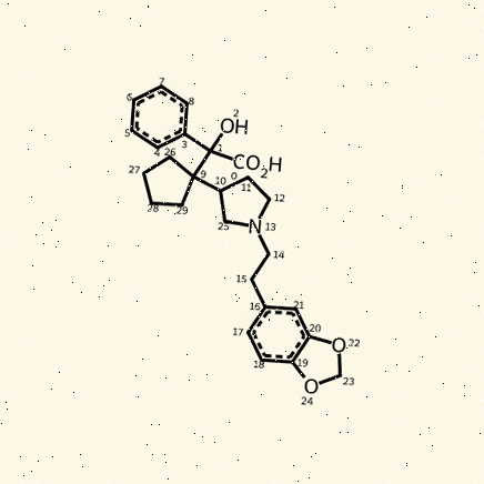 O=C(O)C(O)(c1ccccc1)C1(C2CCN(CCc3ccc4c(c3)OCO4)C2)CCCC1